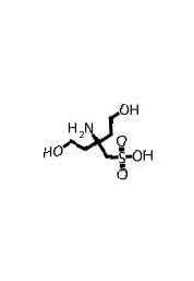 NC(CCO)(CCO)CS(=O)(=O)O